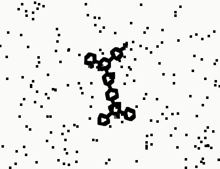 Fc1ccc(-c2cc(-c3ccccn3)nc(-c3ccc(-c4ccc(-c5cc(-c6ccccc6)nc(-c6ccccc6)n5)cc4)cn3)c2)cc1